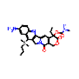 CCC[Si](C)(C)c1c2c(nc3ccc(N)cc13)-c1cc3c(c(=O)n1C2)COC(=O)C3(CC)OC(=O)NC